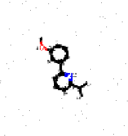 COc1cccc(-c2cccc(C(C)C)n2)c1